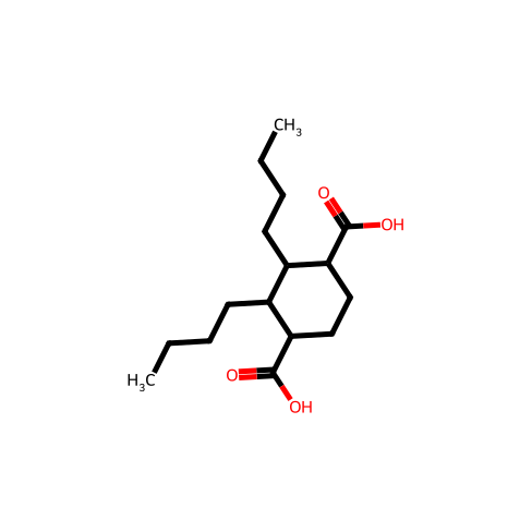 CCCCC1C(C(=O)O)CCC(C(=O)O)C1CCCC